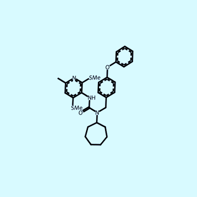 CSc1cc(C)nc(SC)c1NC(=O)N(Cc1ccc(Oc2ccccc2)cc1)C1CCCCCC1